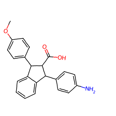 COc1ccc(C2c3ccccc3C(c3ccc(N)cc3)C2C(=O)O)cc1